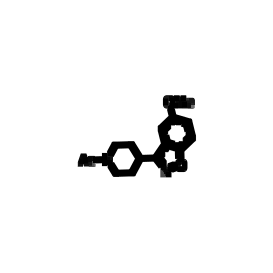 COc1ccc2onc(C3CCN(C(C)=O)CC3)c2c1